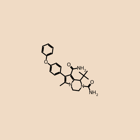 Cc1c(-c2ccc(Oc3ccccc3)cc2)c(C(N)=O)c2n1CCN(C(N)=O)C2C(C)(C)C